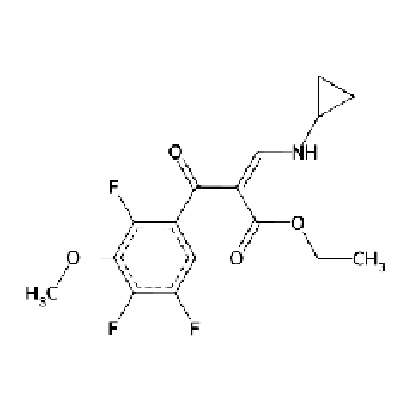 CCOC(=O)C(=CNC1CC1)C(=O)c1cc(F)c(F)c(OC)c1F